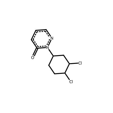 O=c1cccnn1C1CCC(Cl)C(Cl)C1